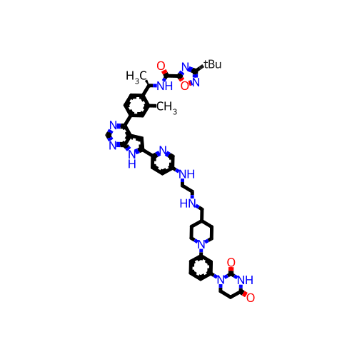 Cc1cc(-c2ncnc3[nH]c(-c4ccc(NCCNCC5CCN(c6cccc(N7CCC(=O)NC7=O)c6)CC5)cn4)cc23)ccc1[C@@H](C)NC(=O)c1nc(C(C)(C)C)no1